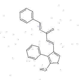 O=C(/C=C/c1ccccc1)/C=C/c1csc(S(=O)(=O)O)c1-c1ccccc1